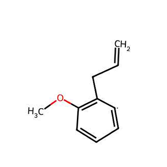 C=CCc1[c]cccc1OC